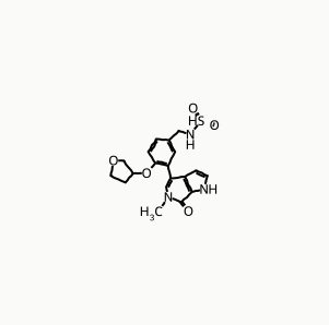 Cn1cc(-c2cc(CN[SH](=O)=O)ccc2OC2CCOC2)c2cc[nH]c2c1=O